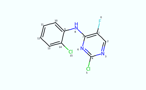 Fc1cnc(Cl)nc1Nc1ccccc1Cl